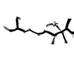 C=C(C)[C@](C)(C(=O)O)[C@H](C)CCCC=C(C)C